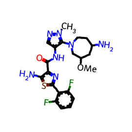 COC1CC(N)CCN(c2c(NC(=O)c3nc(-c4c(F)cccc4F)sc3N)cnn2C)C1